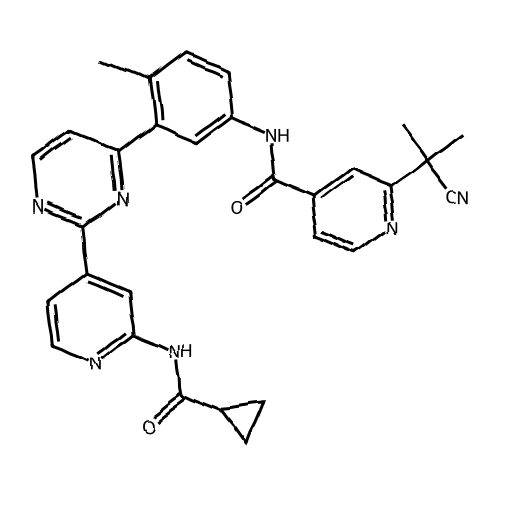 Cc1ccc(NC(=O)c2ccnc(C(C)(C)C#N)c2)cc1-c1ccnc(-c2ccnc(NC(=O)C3CC3)c2)n1